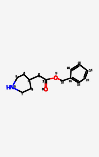 O=C([CH]C1CCNCC1)OCc1ccccc1